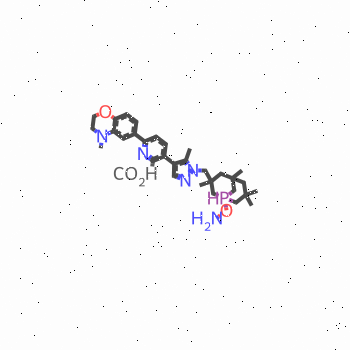 Cc1c(-c2ccc(-c3ccc4c(c3)N(C)CCO4)nc2C(=O)O)cnn1CC1(C)CC2(C)CC(C)(C)C[PH](ON)(C1)C2